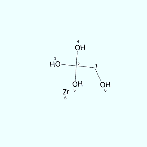 O[CH]C(O)(O)O.[Zr]